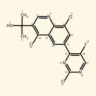 CC(C)(O)c1cnc2c(Cl)cc(-c3nc(Cl)ncc3F)cc2c1Cl